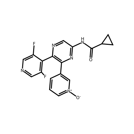 O=C(Nc1cnc(-c2c(F)cncc2F)c(-c2ccc[n+]([O-])c2)n1)C1CC1